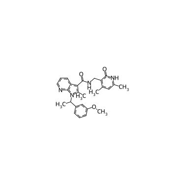 COc1cccc(C(C)n2c(C)c(C(=O)NCc3c(C)cc(C)[nH]c3=O)c3cccnc32)c1